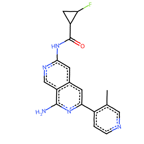 Cc1cnccc1-c1cc2cc(NC(=O)C3CC3F)ncc2c(N)n1